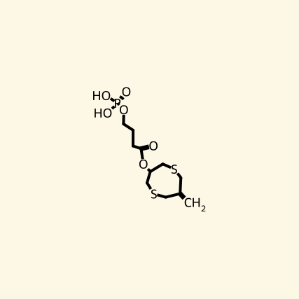 C=C1CSCC(OC(=O)CCCOP(=O)(O)O)CSC1